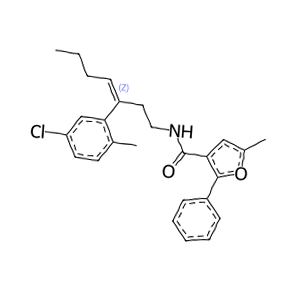 CCC/C=C(/CCNC(=O)c1cc(C)oc1-c1ccccc1)c1cc(Cl)ccc1C